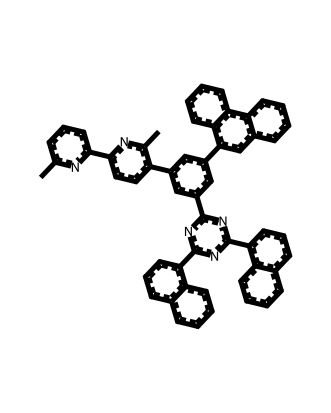 Cc1cccc(-c2ccc(-c3cc(-c4nc(-c5cccc6ccccc56)nc(-c5cccc6ccccc56)n4)cc(-c4cc5ccccc5c5ccccc45)c3)c(C)n2)n1